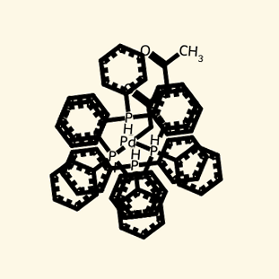 CC(=O)CC(=O)[CH2][Pd]([PH](c1ccccc1)(c1ccccc1)c1ccccc1)([PH](c1ccccc1)(c1ccccc1)c1ccccc1)([PH](c1ccccc1)(c1ccccc1)c1ccccc1)[PH](c1ccccc1)(c1ccccc1)c1ccccc1